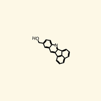 OCc1ccc2nc3c(cc2c1)-c1cccc2cccc-3c12